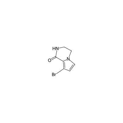 O=C1NCCn2ccc(Br)c21